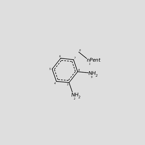 CCCCCC.Nc1ccccc1N